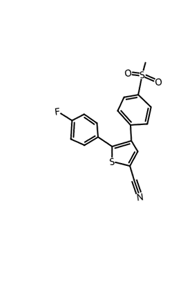 CS(=O)(=O)c1ccc(-c2cc(C#N)sc2-c2ccc(F)cc2)cc1